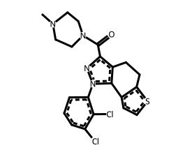 CN1CCN(C(=O)c2nn(-c3cccc(Cl)c3Cl)c3c2CCc2sccc2-3)CC1